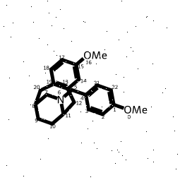 COc1ccc(CN2CC3CCC2Cc2cc(OC)ccc2C3)cc1